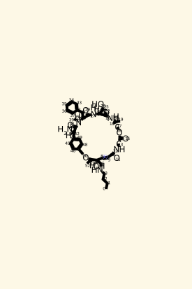 CCCCNC[C@@]1(O)/C=C/C(=O)NCC(=O)OC[C@@H](C)NC(=O)[C@@H]([C@@H](C)O)NC(=O)[C@H](Cc2ccccc2)N(C)C(=O)[C@@H](N)c2ccc(cc2)O[C@@H]1C